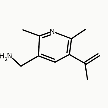 C=C(C)c1cc(CN)c(C)nc1C